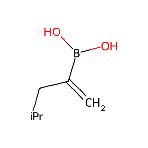 C=C(CC(C)C)B(O)O